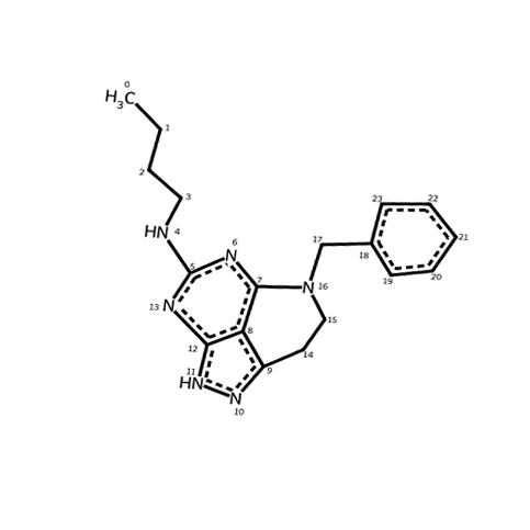 CCCCNc1nc2c3c(n[nH]c3n1)CCN2Cc1ccccc1